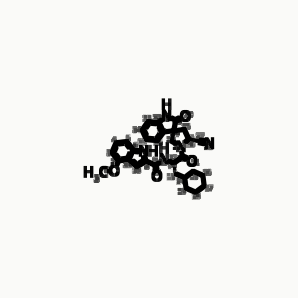 COc1cccc2[nH]c(C(=O)N[C@@H](CC3CCCCC3)C(=O)N3C[C@]4(C[C@H]3C#N)C(=O)Nc3ccccc34)cc12